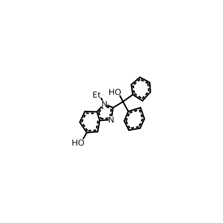 CCn1c(C(O)(c2ccccc2)c2ccccc2)nc2cc(O)ccc21